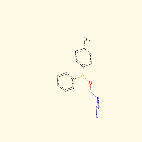 Cc1ccc(P(OCN=[N+]=[N-])c2ccccc2)cc1